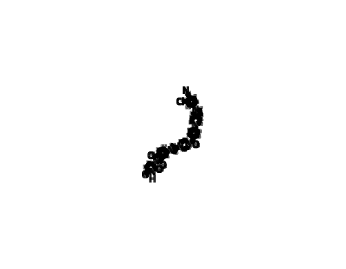 N#Cc1ccc(N2CCC3(CCN(c4ccc(C(=O)N5CCN(C6CN(c7ccc8c(c7)C(=O)N(C7CCC(=O)NC7=O)C8=O)C6)CC5)cc4)CC3)C2)cc1Cl